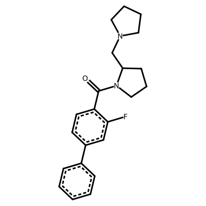 O=C(c1ccc(-c2ccccc2)cc1F)N1CCCC1CN1CCCC1